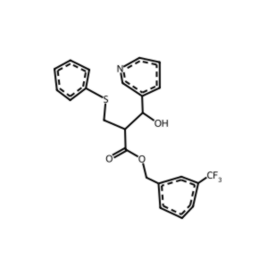 O=C(OCc1cccc(C(F)(F)F)c1)C(CSc1ccccc1)C(O)c1cccnc1